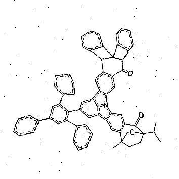 CC(C)C12CCC(C)(CC1)c1cc3c4cc(-c5c(-c6ccccc6)cc(-c6ccccc6)cc5-c5ccccc5)cc5c6cc7c(cc6n(c3cc1C2=O)c54)C(=O)C1c2ccccc2C12c1ccccc1C72